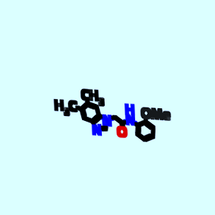 COc1ccccc1NC(=O)Cn1cnc2cc(C)c(C)cc21